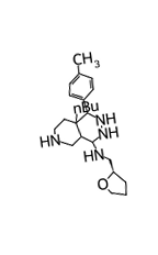 CCCCC12CCNCC1C(NC[C@H]1CCCO1)NNC2c1ccc(C)cc1